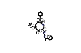 C/C(=C\C=C\C(C)c1ccccn1)[C@H]1OC(=O)C[C@H](O[Si](C)(C)C(C)(C)C)CC[C@@]2(C)OC(c3ccccc3)O[C@H]2/C=C/[C@@H]1C